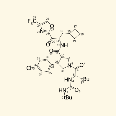 CC(C)(C)NC(=O)N[C@H](C(=O)N1CC(C(=O)NC(CC2CCC2)C(=O)c2nc(C(F)(F)F)co2)C(c2ccc(Cl)cc2)C1)C(C)(C)C